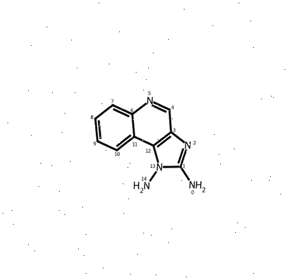 Nc1nc2cnc3ccccc3c2n1N